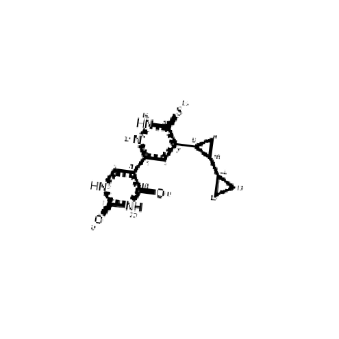 O=c1[nH]cc(-c2cc(C3CC3C3CC3)c(=S)[nH]n2)c(=O)[nH]1